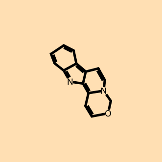 C1=Cc2c3nc4ccccc4c-3ccn2CO1